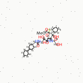 COC(=O)[C@]1(Sc2ccc(C)cc2)C[C@H](O)[C@@H](NC(=O)CO)[C@H]([C@H](O)[C@H](O)CNC(=O)Cc2ccc(-c3ccccc3)cc2)O1